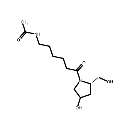 CC(=O)NCCCCCC(=O)N1CC(O)C[C@H]1CO